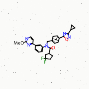 COc1nccc(-c2cccc(N(CC34CCC(c5nc(C6CC6)no5)(CC3)CC4)C(=O)C3CCC(F)(F)C3)c2)n1